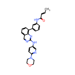 CC=CC(=O)Nc1cccc(-c2cccc3cnc(Nc4ccc(N5CCOCC5)nc4)nc23)c1